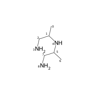 CC(CN)NC(C)CN